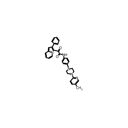 Cc1ccc(N2CCN(c3ccc(NC(=O)C(=O)c4c(-c5ccccc5)cc5ccccn45)cc3)CC2)nc1